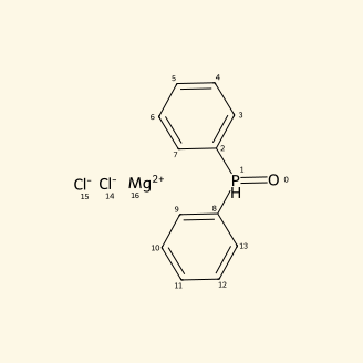 O=[PH](c1ccccc1)c1ccccc1.[Cl-].[Cl-].[Mg+2]